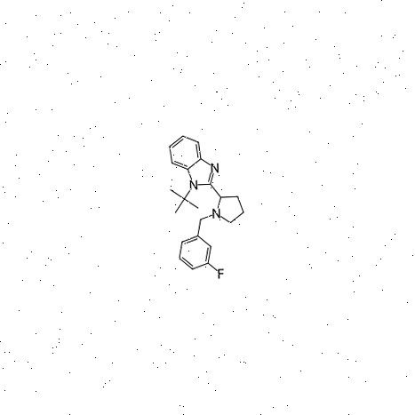 CC(C)(C)n1c(C2CCCN2Cc2cccc(F)c2)nc2ccccc21